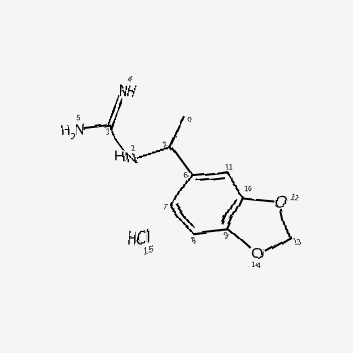 CC(NC(=N)N)c1ccc2c(c1)OCO2.Cl